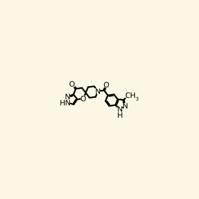 Cc1n[nH]c2ccc(C(=O)N3CCC4(CC3)CC(=O)c3n[nH]cc3O4)cc12